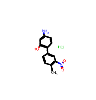 Cc1ccc(-c2ccc(N)cc2O)cc1[N+](=O)[O-].Cl